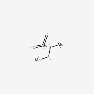 [Mo][S][S][Mo].[O]=[Mo]=[O]